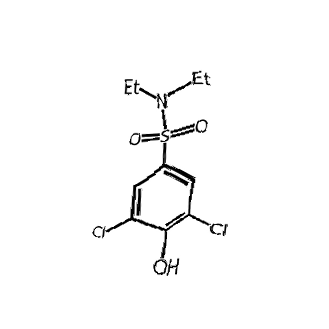 CCN(CC)S(=O)(=O)c1cc(Cl)c(O)c(Cl)c1